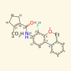 CCOc1c(-c2ccccc2)ccc(NC(=O)C2=C(C(=O)O)CCC2)c1F